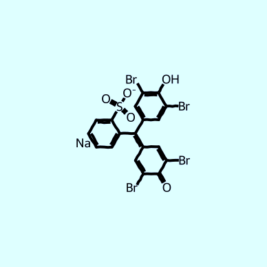 O=C1C(Br)=CC(=C(c2cc(Br)c(O)c(Br)c2)c2ccccc2S(=O)(=O)[O-])C=C1Br.[Na+]